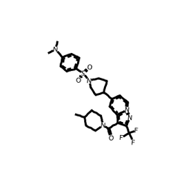 CC1CCN(C(=O)c2c(C(F)(F)F)nn3ccc(C4CCN(S(=O)(=O)c5ccc(N(C)C)cc5)CC4)cc23)CC1